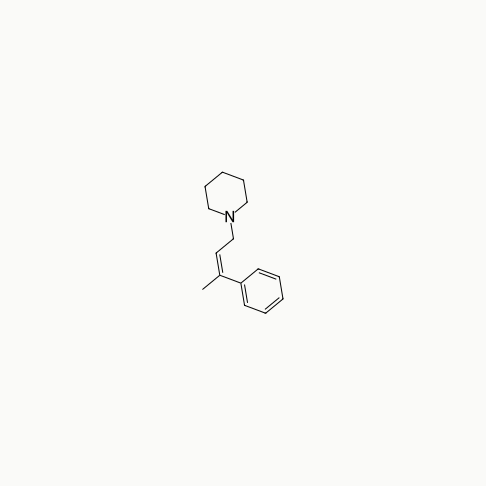 CC(=CCN1CCCCC1)c1ccccc1